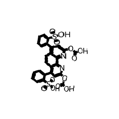 O=C(O)Oc1cc(-c2ccccc2S(=O)(=O)O)c2ccc3c(-c4ccccc4S(=O)(=O)O)cc(OC(=O)O)nc3c2n1